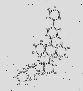 c1ccc(-c2ccc(-c3c4ccccc4c(-c4cccc5c4oc4cc6ccccc6cc45)c4ccccc34)cc2)cc1